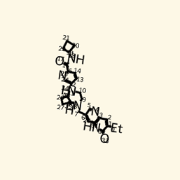 CCc1cc2ncc(CN3CCN(c4ccc(C(=O)NC5CCC5)nc4)[C@H]4CC[C@H]43)cc2[nH]c1=O